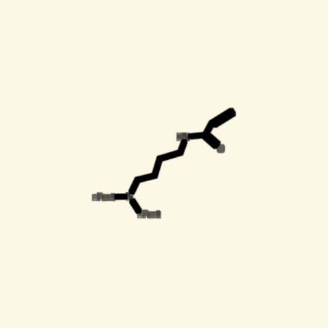 C=CC(=O)NCCCCN(CCCCC)CCCCC